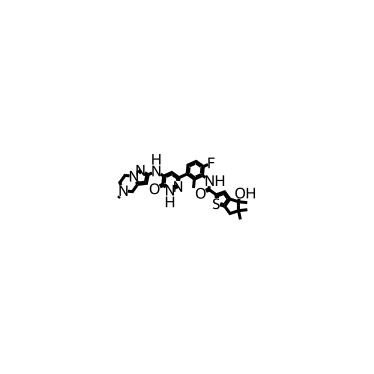 Cc1c(-c2cc(Nc3cc4n(n3)CCN(C)C4)c(=O)[nH]n2)ccc(F)c1NC(=O)c1cc2c(s1)CC(C)(C)C2(C)O